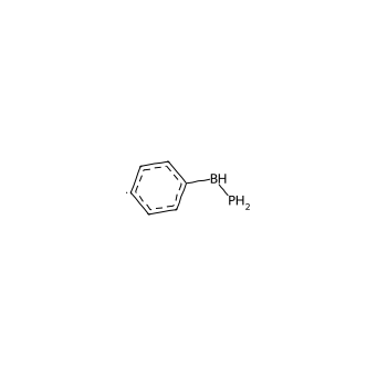 PBc1cc[c]cc1